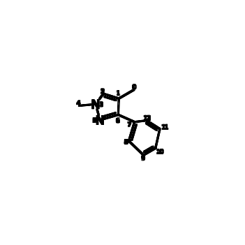 Cc1cn(C)nc1-c1ccccc1